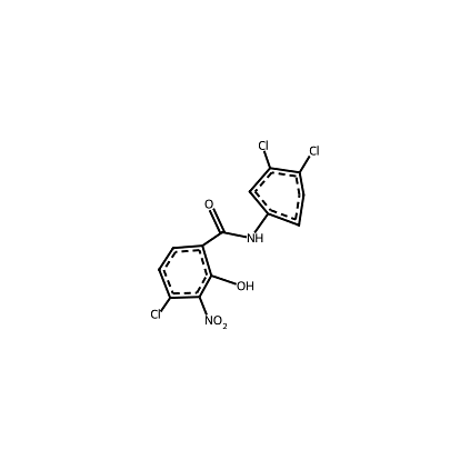 O=C(Nc1ccc(Cl)c(Cl)c1)c1ccc(Cl)c([N+](=O)[O-])c1O